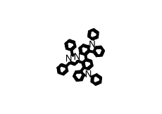 c1ccc(-c2cc(-c3c(-c4cccc5c4c4ccccc4n5-c4ccccc4)ccc4c3c3ccccc3n4-c3ccccc3)nc(-c3ccccc3)n2)cc1